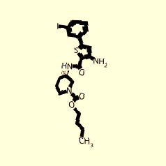 CCCCOC(=O)N1CCC[C@H](NC(=O)c2sc(-c3cccc(I)c3)cc2N)C1